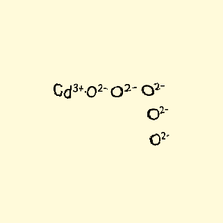 [Gd+3].[O-2].[O-2].[O-2].[O-2].[O-2]